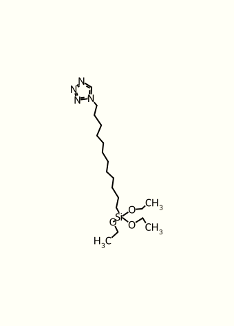 CCO[Si](CCCCCCCCCCCCn1cnnn1)(OCC)OCC